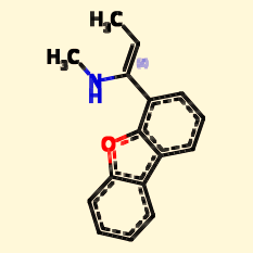 C/C=C(\NC)c1cccc2c1oc1ccccc12